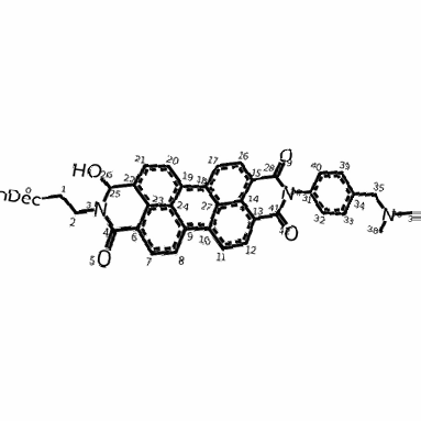 CCCCCCCCCCCCN1C(=O)c2ccc3c4ccc5c6c(ccc(c7ccc(c2c37)C1O)c64)C(=O)N(c1ccc(CN(C)C)cc1)C5=O